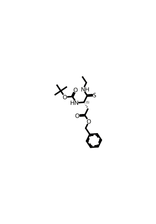 CCNC(=S)[C@H](CC(=O)OCc1ccccc1)NC(=O)OC(C)(C)C